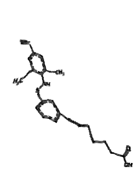 Cc1cc(Br)cc(C)c1NSc1cccc(CCCCCCC(=O)O)c1